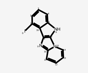 Ic1cccc2[nH]c3c(nc4ccccn43)c12